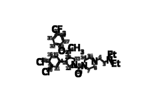 CCN(CC)CCN1CCN(C(=O)N2CC(c3ccc(Cl)c(Cl)c3)C(C(C)Oc3ccc(C(F)(F)F)cc3)C2)CC1